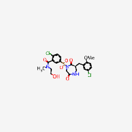 COc1ccc(Cl)cc1CC1CNC(=O)CN(S(=O)(=O)c2ccc(Cl)c(C(=O)N(C)CCO)c2)C1=O